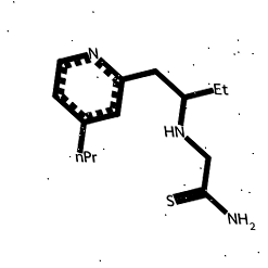 CCCc1ccnc(CC(CC)NCC(N)=S)c1